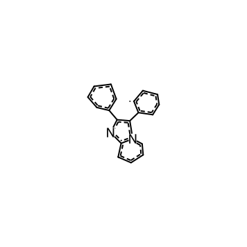 [c]1ccccc1-c1c(-c2ccccc2)nc2ccccn12